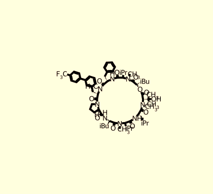 CC[C@H](C)[C@@H]1NC(=O)[C@@H]2CCCN2C(=O)[C@H](Cc2cccc(-c3ccc(C(F)(F)F)cc3)c2)N(C)C(=O)[C@H](Cc2ccccc2)NC(=O)C(C(C)C)N(C)C(=O)[C@@H]([C@@H](C)CC)OC(=O)[C@H](C(C)(C)O)N(C)C(=O)[C@H](CC(C)C)NC(=O)C(C(C)C)N(C)C1=O